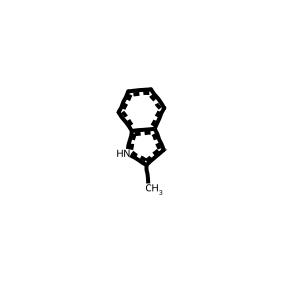 Cc1[c]c2ccccc2[nH]1